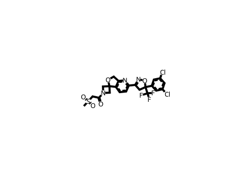 CS(=O)(=O)CC(=O)N1CC2(C1)OCc1nc(C3=NOC(c4cc(Cl)cc(Cl)c4)(C(F)(F)F)C3)ccc12